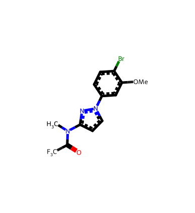 COc1cc(-n2ccc(N(C)C(=O)C(F)(F)F)n2)ccc1Br